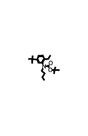 CCCCN(C(=O)OC(C)(C)C)c1cc(C(C)(C)C)ccc1CC